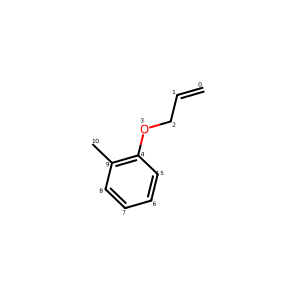 C=CCOc1[c]cccc1C